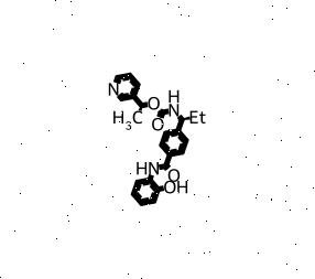 CC[C@H](NC(=O)O[C@@H](C)c1cccnc1)c1ccc(C(=O)Nc2ccccc2O)cc1